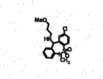 COCCCNC1c2ccccc2N(C)S(=O)(=O)c2ccc(Cl)cc21